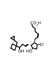 O=C(O)CCC/C=C\C[C@@H]1[C@@H](/C=C/CC(O)C2(CC3CC3)CCC2)[C@H](O)C[C@@H]1Cl